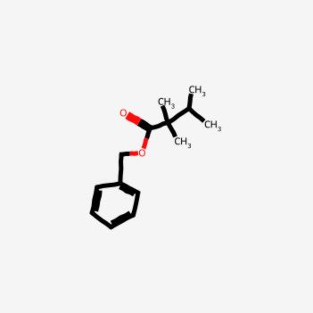 CC(C)C(C)(C)C(=O)OCc1ccccc1